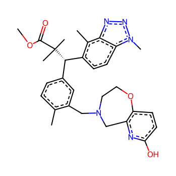 COC(=O)C(C)(C)[C@@H](c1ccc(C)c(CN2CCOc3ccc(O)nc3C2)c1)c1ccc2c(nnn2C)c1C